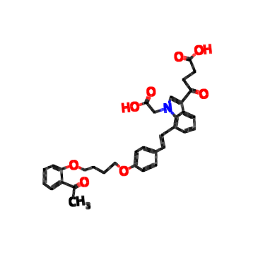 CC(=O)c1ccccc1OCCCCOc1ccc(C=Cc2cccc3c(C(=O)CCC(=O)O)cn(CC(=O)O)c23)cc1